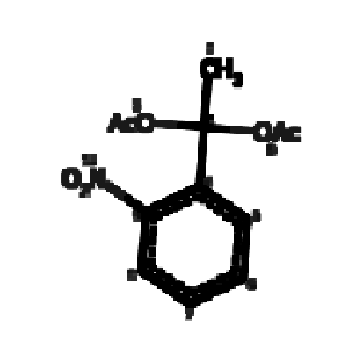 CC(=O)OC(C)(OC(C)=O)c1ccccc1[N+](=O)[O-]